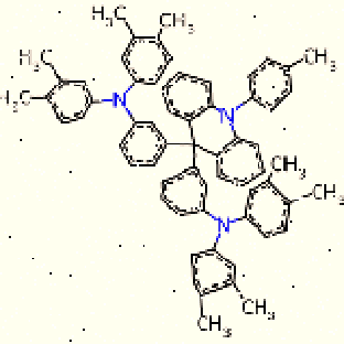 Cc1ccc(N2c3ccccc3C(c3cccc(N(c4ccc(C)c(C)c4)c4ccc(C)c(C)c4)c3)(c3cccc(N(c4ccc(C)c(C)c4)c4ccc(C)c(C)c4)c3)c3ccccc32)cc1